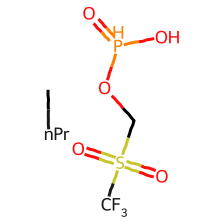 CCCC.O=[PH](O)OCS(=O)(=O)C(F)(F)F